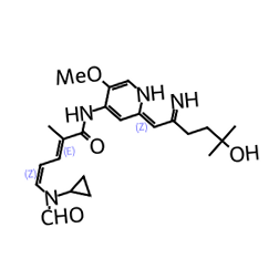 COC1=CN/C(=C\C(=N)CCC(C)(C)O)C=C1NC(=O)/C(C)=C/C=C\N(C=O)C1CC1